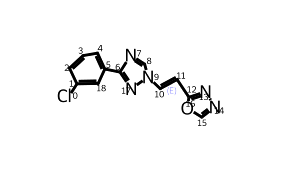 Clc1cccc(-c2ncn(/C=C/c3nnco3)n2)c1